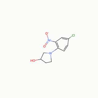 O=[N+]([O-])c1cc(Cl)ccc1N1CCC(O)C1